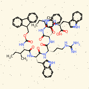 CC[C@H](C)[C@H](NC(=O)OCC1c2ccccc2-c2ccccc21)C(=O)N[C@@H](Cc1c[nH]c2ccccc12)C(=O)N[C@@H](CCCNC(=N)N)C(=O)N[C@@H](Cc1c[nH]c2ccccc12)C(=O)N[C@H](C(=O)N[C@@H](Cc1c[nH]c2ccccc12)C(=O)O)[C@@H](C)CC